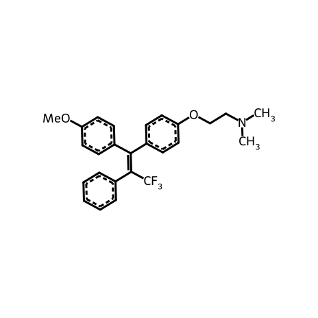 COc1ccc(C(=C(c2ccccc2)C(F)(F)F)c2ccc(OCCN(C)C)cc2)cc1